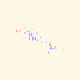 CN(C)[C@@H]1CCN(c2ccc(Nc3nccc(N(C(=O)O)c4ccccc4)n3)cc2)C1